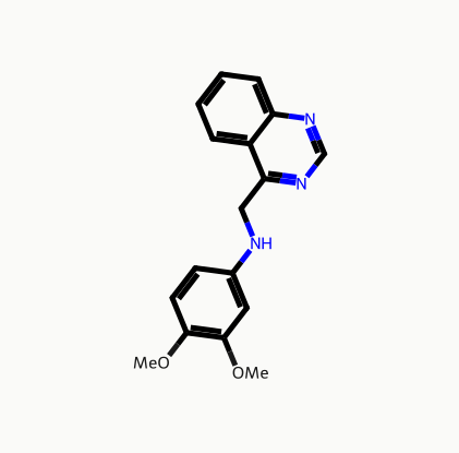 COc1ccc(NCc2ncnc3ccccc23)cc1OC